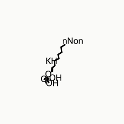 CCCCCCCCCCCCCCCCC=COP(=O)(O)O.[KH]